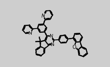 CC1(C)c2ccccc2-c2nc(-c3ccc(-c4cccc5c4oc4ccccc45)cc3)nc(-c3cc(-c4ccccn4)cc(-c4ccccn4)c3)c21